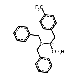 O=C(O)[C@H](Cc1ccc(C(F)(F)F)cc1)N(Cc1ccccc1)Cc1ccccc1